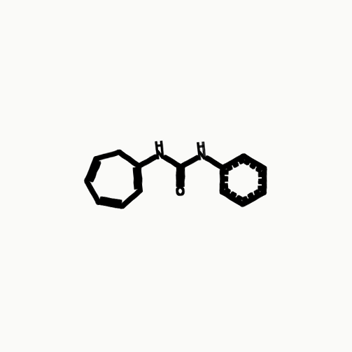 O=C(NC1=CC=CC=CC1)Nc1ccccc1